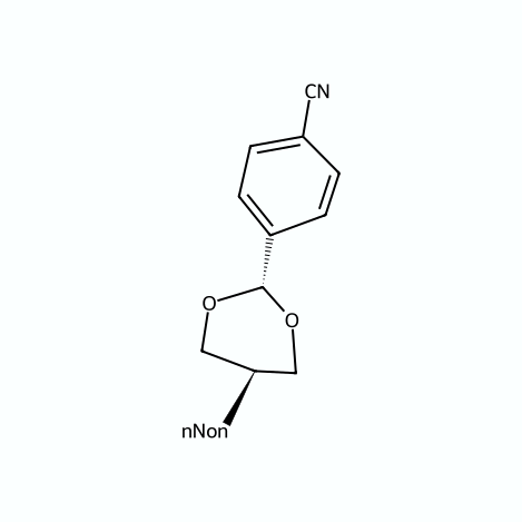 CCCCCCCCC[C@H]1CO[C@H](c2ccc(C#N)cc2)OC1